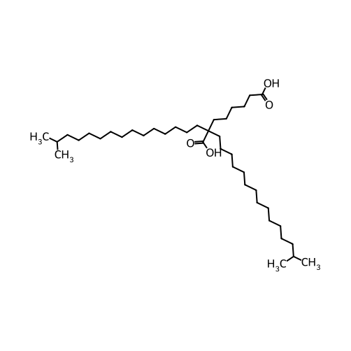 CC(C)CCCCCCCCCCCCCC(CCCCCCCCCCCCCC(C)C)(CCCCCC(=O)O)C(=O)O